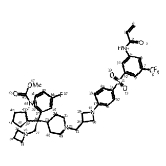 C=CC(=O)Nc1cc(C(F)(F)F)cc(S(=O)(=O)c2ccc(N3CC(CN4CCC([C@@](CN5CCC5)(c5cccc(F)c5)[C@H]5CCC[C@@H]5NC(=O)OC)CC4)C3)cc2)c1